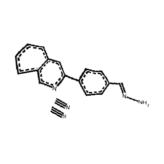 C#N.C#N.NN=Cc1ccc(-c2cc3ccccc3cn2)cc1